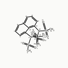 CS(=O)(=O)N(c1cccc2cccc(N(S(C)(=O)=O)S(C)(=O)=O)c12)S(C)(=O)=O